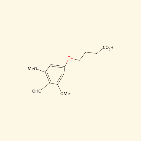 COc1cc(OCCCC(=O)O)cc(OC)c1C=O